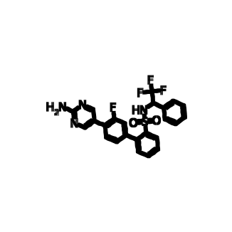 Nc1ncc(-c2ccc(-c3ccccc3S(=O)(=O)NC(c3ccccc3)C(F)(F)F)cc2F)cn1